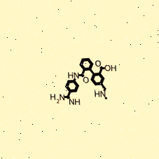 CNCc1ccc(-c2ccccc2C(=O)Nc2ccc(C(=N)N)cc2)c(C(=O)O)c1